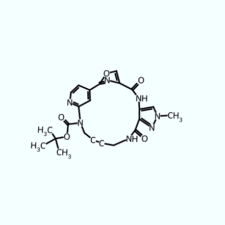 Cn1cc2c(n1)C(=O)NCCCCN(C(=O)OC(C)(C)C)c1cc(ccn1)-c1nc(co1)C(=O)N2